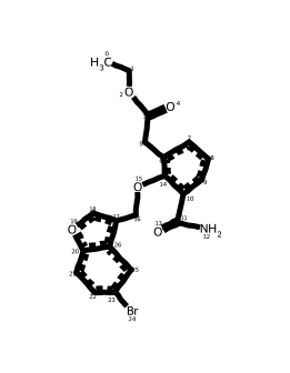 CCOC(=O)Cc1cccc(C(N)=O)c1OCc1coc2ccc(Br)cc12